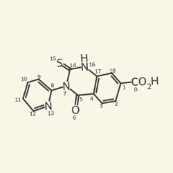 O=C(O)c1ccc2c(=O)n(-c3ccccn3)c(=S)[nH]c2c1